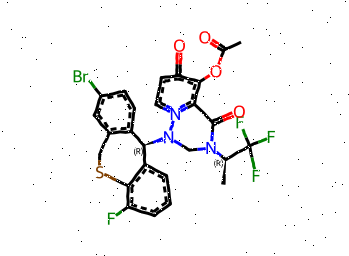 CC(=O)Oc1c2n(ccc1=O)N([C@@H]1c3ccc(Br)cc3CSc3c(F)cccc31)CN([C@H](C)C(F)(F)F)C2=O